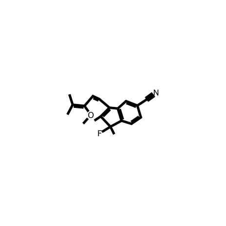 COC(/C=C\C1=C(C)C(C)(F)c2ccc(C#N)cc21)=C(C)C